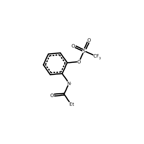 CCC(=O)[N]c1ccccc1OS(=O)(=O)C(F)(F)F